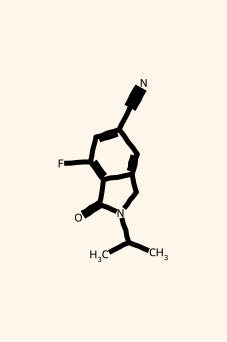 CC(C)N1Cc2cc(C#N)cc(F)c2C1=O